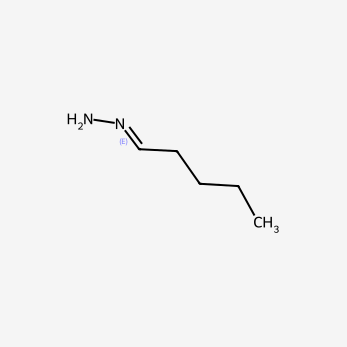 CCCC/C=N/N